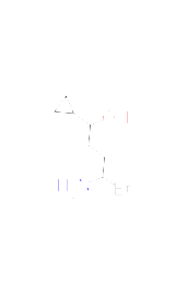 CCC(N)CCC(O)C1CC1